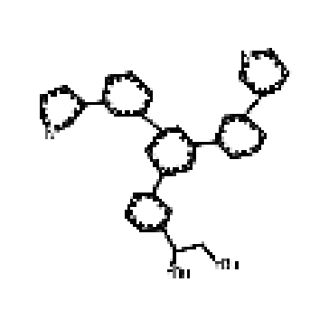 CC(C)(C)CC(c1cccc(-c2cc(-c3cccc(-c4cccnc4)c3)cc(-c3cccc(-c4cccnc4)c3)c2)c1)C(C)(C)C